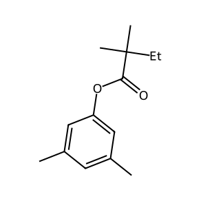 CCC(C)(C)C(=O)Oc1cc(C)cc(C)c1